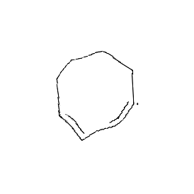 [C]1=CC=CCCCC1